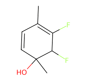 CC1=C(F)C(F)C(C)(O)C=C1